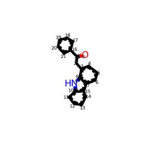 O=C(Cc1cccc2c1[nH]c1ccccc12)c1ccccc1